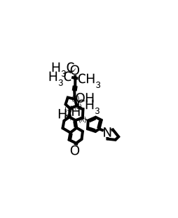 COC(C)(C)C#C[C@]1(O)CC[C@H]2[C@@H]3CCC4=CC(=O)CCC4=C3[C@@H](c3ccc(N4CCCC4)cc3)C[C@@]21C